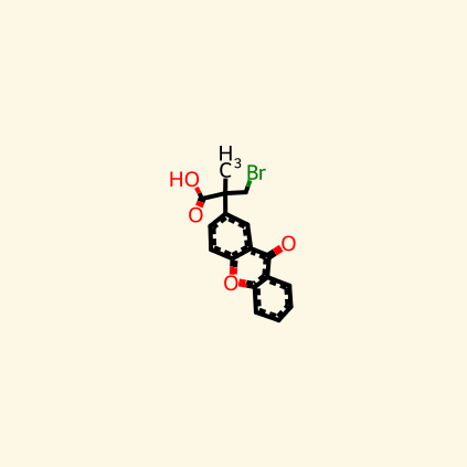 CC(CBr)(C(=O)O)c1ccc2oc3ccccc3c(=O)c2c1